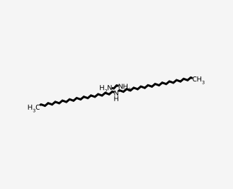 CCCCCCCCCCCCCCCCCCCCCCNCCCCCCCCCCCCCCCCCCCCCC.NCCN